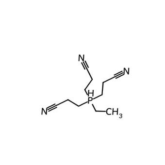 CC[PH](CCC#N)(CCC#N)CCC#N